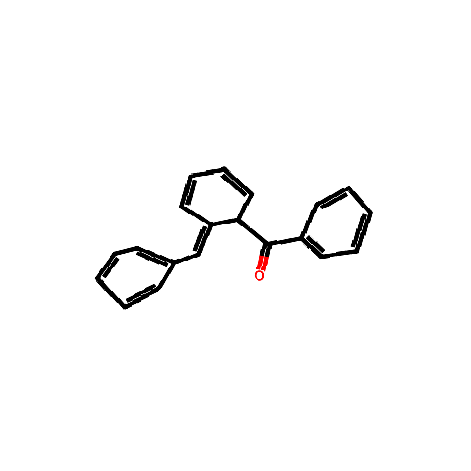 O=C(c1ccccc1)C1C=CC=CC1=Cc1ccccc1